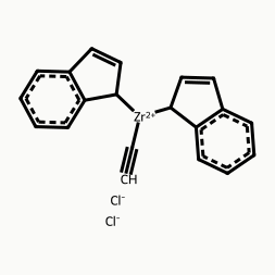 C#[C][Zr+2]([CH]1C=Cc2ccccc21)[CH]1C=Cc2ccccc21.[Cl-].[Cl-]